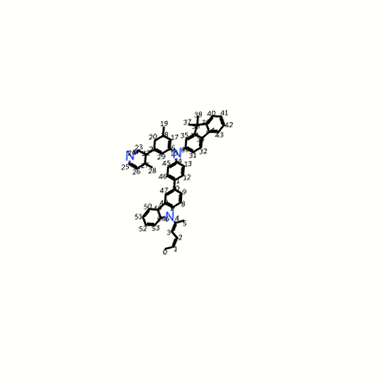 C/C=C\C=C(/C)N1c2ccc(-c3ccc(N(C4=CC(C)CC(C5C=NC=CC5C)=C4)c4ccc5c(c4)C(C)(C)c4ccccc4-5)cc3)cc2C2C=CC=CC21